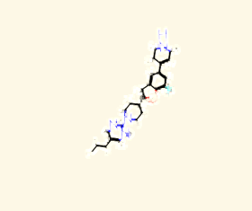 CCCc1cnc(N2CCC([C@H]3Cc4cc(C5=CCNCC5)cc(F)c4O3)CC2)nc1